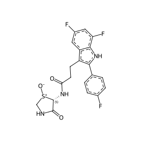 O=C(CCc1c(-c2ccc(F)cc2)[nH]c2c(F)cc(F)cc12)N[C@@H]1C(=O)NC[S+]1[O-]